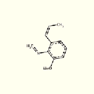 C=Nc1c(/C=C\C)cccc1OC